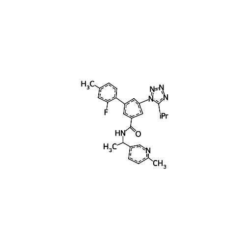 Cc1ccc(-c2cc(C(=O)NC(C)c3ccc(C)nc3)cc(-n3nnnc3C(C)C)c2)c(F)c1